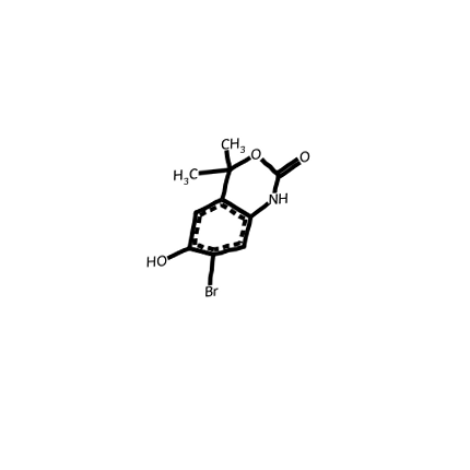 CC1(C)OC(=O)Nc2cc(Br)c(O)cc21